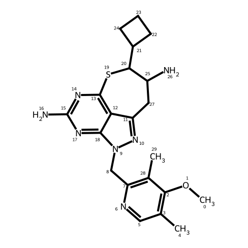 COc1c(C)cnc(Cn2nc3c4c(nc(N)nc42)SC(C2CCC2)C(N)C3)c1C